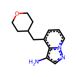 Nc1cnn2cccc(CC3CCOCC3)c12